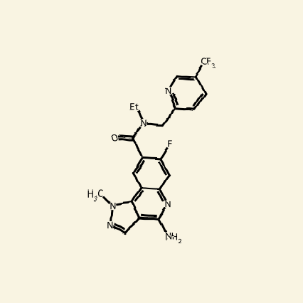 CCN(Cc1ccc(C(F)(F)F)cn1)C(=O)c1cc2c(cc1F)nc(N)c1cnn(C)c12